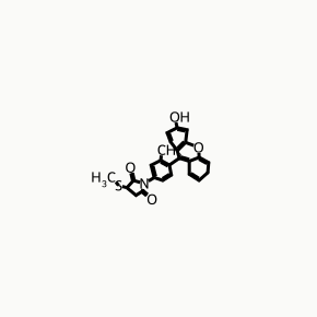 CSC1CC(=O)N(c2ccc(C3=C4C=CCC=C4Oc4cc(O)ccc43)c(C)c2)C1=O